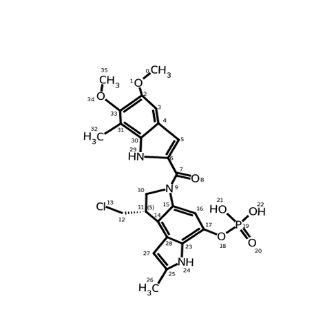 COc1cc2cc(C(=O)N3C[C@@H](CCl)c4c3cc(OP(=O)(O)O)c3[nH]c(C)cc43)[nH]c2c(C)c1OC